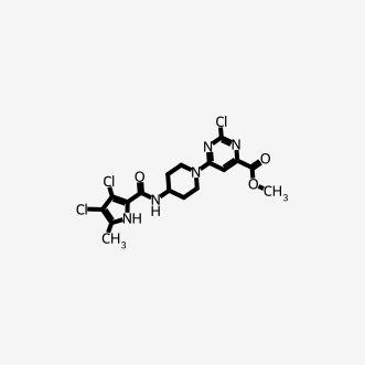 COC(=O)c1cc(N2CCC(NC(=O)c3[nH]c(C)c(Cl)c3Cl)CC2)nc(Cl)n1